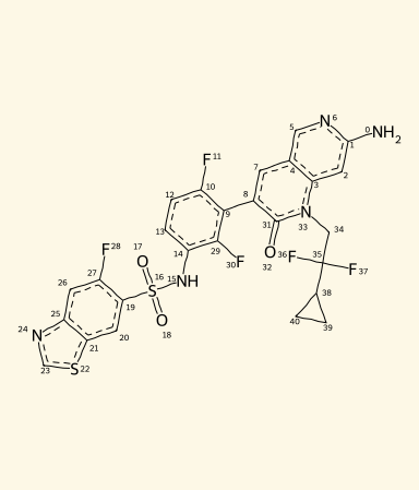 Nc1cc2c(cn1)cc(-c1c(F)ccc(NS(=O)(=O)c3cc4scnc4cc3F)c1F)c(=O)n2CC(F)(F)C1CC1